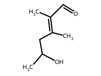 CC(C=O)=C(C)CC(C)O